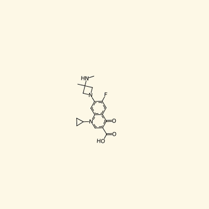 CNC1(C)CN(c2cc3c(cc2F)c(=O)c(C(=O)O)cn3C2CC2)C1